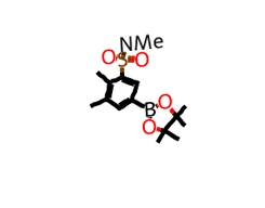 CNS(=O)(=O)c1cc(B2OC(C)(C)C(C)(C)O2)cc(C)c1C